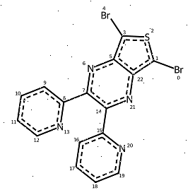 Brc1sc(Br)c2nc(-c3ccccn3)c(-c3ccccn3)nc12